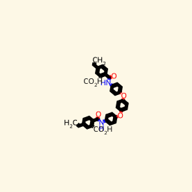 C=Cc1ccc(C(=O)Nc2ccc(Oc3ccc(Oc4ccc(NC(=O)c5ccc(C=C)cc5C(=O)O)cc4)cc3)cc2)c(C(=O)O)c1